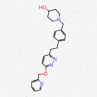 OC1CCN(Cc2ccc(CCc3ccc(OCc4ccccn4)nn3)cc2)CC1